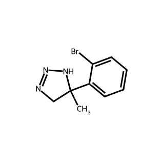 CC1(c2ccccc2Br)CN=NN1